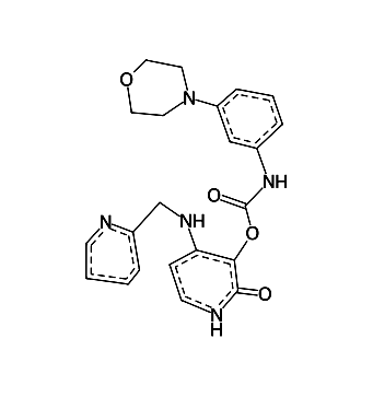 O=C(Nc1cccc(N2CCOCC2)c1)Oc1c(NCc2ccccn2)cc[nH]c1=O